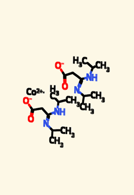 CC(C)N=C(CC(=O)[O-])NC(C)C.CC(C)N=C(CC(=O)[O-])NC(C)C.[Co+2]